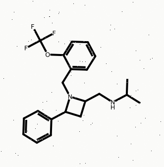 CC(C)NCC1CC(c2ccccc2)N1Cc1ccccc1OC(F)(F)F